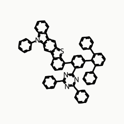 c1ccc(-c2nc(-c3ccccc3)nc(-c3cc(-c4c(-c5ccccc5)cccc4-c4ccccc4)ccc3-c3cccc4c3sc3cc5c6ccccc6n(-c6ccccc6)c5cc34)n2)cc1